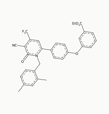 CCOC(=O)c1cccc(Oc2ccc(-c3cc(C(F)(F)F)c(C#N)c(=O)n3Cc3ccc(C)cc3C)cc2)c1